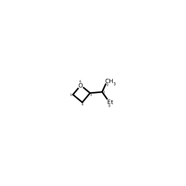 [CH2]CC(C)C1CCO1